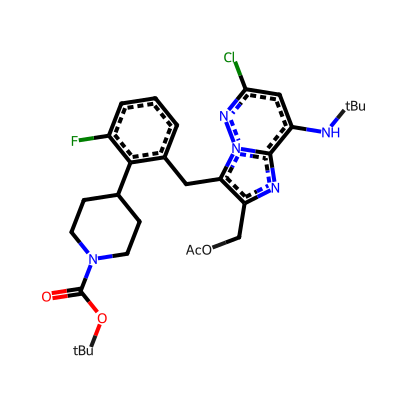 CC(=O)OCc1nc2c(NC(C)(C)C)cc(Cl)nn2c1Cc1cccc(F)c1C1CCN(C(=O)OC(C)(C)C)CC1